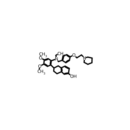 CCN(Cc1ccc(OCCN2CCCCC2)cc1)c1cc(OC)c(OC)cc1C1CCc2cc(O)ccc2C1